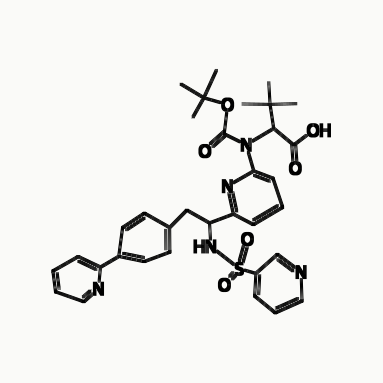 CC(C)(C)OC(=O)N(c1cccc(C(Cc2ccc(-c3ccccn3)cc2)NS(=O)(=O)c2cccnc2)n1)C(C(=O)O)C(C)(C)C